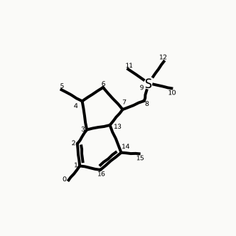 CC1=CC2C(C)CC(CS(C)(C)C)C2C(C)=C1